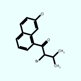 CC(C)C(Br)C(=O)c1cccc2ccc(Cl)cc12